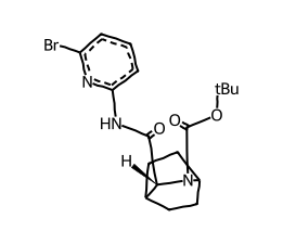 CC(C)(C)OC(=O)N1C2CCC(CC2)[C@@H]1C(=O)Nc1cccc(Br)n1